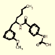 CCCCC(Cc1cccc(OC)c1)NC(=O)c1ccc(NC(=O)O)cc1